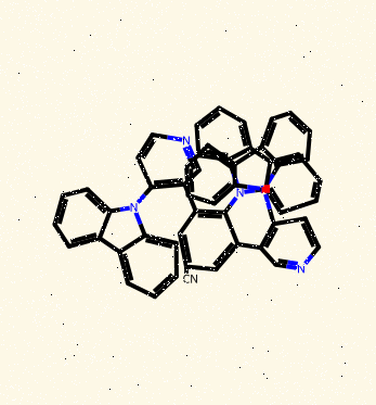 N#Cc1cc(-c2cnccc2-n2c3ccccc3c3ccccc32)c(-n2c3ccccc3c3ccccc32)c(-c2cnccc2-n2c3ccccc3c3ccccc32)c1